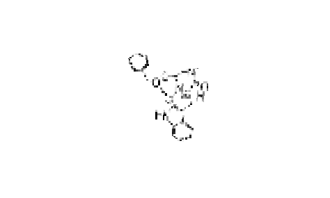 CN1CC(=O)N2[C@H](Cc3c([nH]c4ccccc34)[C@H]2COCc2ccccc2)C1=O